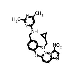 Cc1cc(NCc2ccc(Oc3ccc4ncc([N+](=O)[O-])n4n3)c(OCC3CC3)c2)nc(C)n1